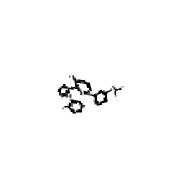 O=c1ccn(-c2cccc(OC(F)F)c2)nc1-c1ccnn1-c1ccccc1F